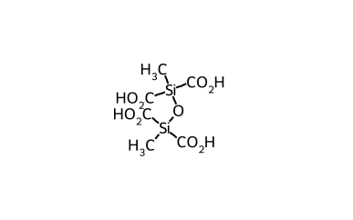 C[Si](O[Si](C)(C(=O)O)C(=O)O)(C(=O)O)C(=O)O